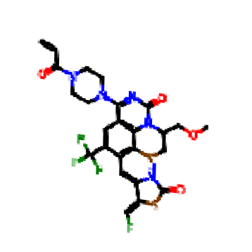 C=CC(=O)N1CCN(c2nc(=O)n3c4c(c(/C=c5\[nH]c(=O)s\c5=C/F)c(C(F)(F)F)cc24)SCC3COC)CC1